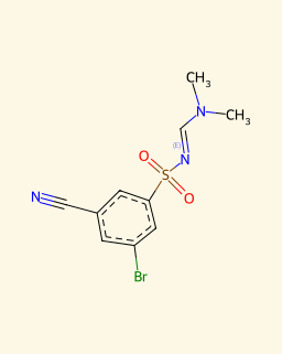 CN(C)/C=N/S(=O)(=O)c1cc(Br)cc(C#N)c1